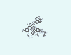 CC(C)CN(C[C@@H](O)C(Cc1cc(F)cc(F)c1)NC(=O)O[C@H]1CC2CO[C@H]3OCCC1[C@@H]23)S(=O)(=O)c1ccc2nc(NC3CC3)sc2c1